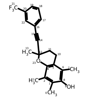 Cc1c(C)c2c(c(C)c1O)CCC(C)(C#Cc1cccc(C(F)(F)F)c1)O2